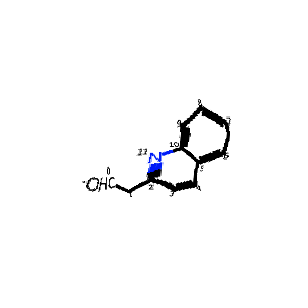 O=[C]Cc1ccc2ccccc2n1